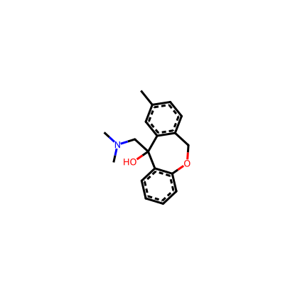 Cc1ccc2c(c1)C(O)(CN(C)C)c1ccccc1OC2